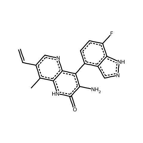 C=Cc1cnc2c(-c3ccc(F)c4[nH]ncc34)c(N)c(=O)[nH]c2c1C